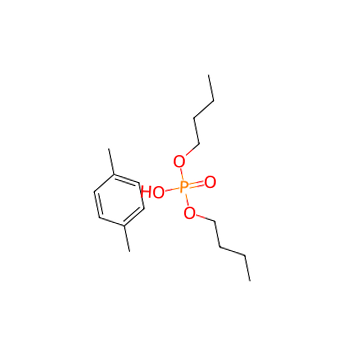 CCCCOP(=O)(O)OCCCC.Cc1ccc(C)cc1